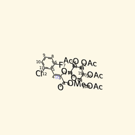 COC(=O)/C(=C/c1c(F)cccc1Cl)O[C@H]1O[C@@H](COC(C)=O)[C@@H](OC(C)=O)[C@@H](OC(C)=O)[C@@H]1OC(C)=O